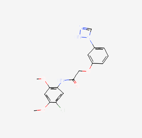 COc1cc(OC)c(NC(=O)COc2cccc(-n3cn[nH]3)c2)cc1Cl